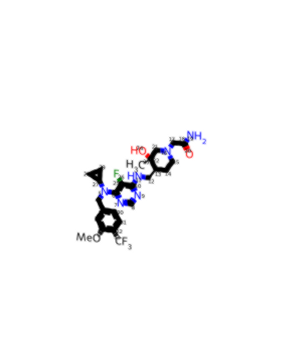 COc1cc(CN(c2ncnc(NC[C@@H]3CCN(CC(N)=O)C[C@]3(C)O)c2F)C2CC2)ccc1C(F)(F)F